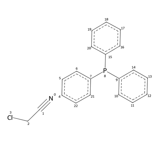 N#CCCl.c1ccc(P(c2ccccc2)c2ccccc2)cc1